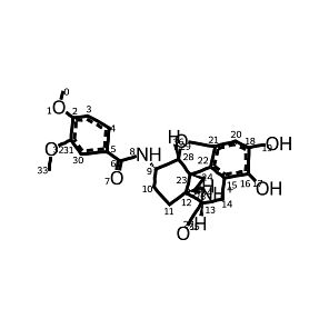 COc1ccc(C(=O)N[C@H]2CC[C@H]3[C@H]4Cc5c(O)c(O)cc6c5[C@@]3(CC[NH+]4[O-])[C@H]2O6)cc1OC